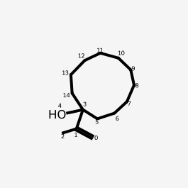 C=C(C)C1(O)CCCCCCCCCC1